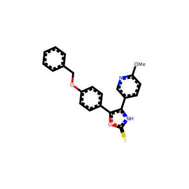 COc1ccc(-c2[nH]c(=S)oc2-c2ccc(OCc3ccccc3)cc2)cn1